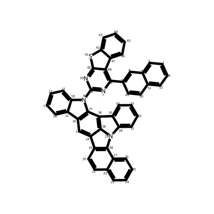 c1ccc2cc(-c3nc(-n4c5ccccc5c5cc6c7ccc8ccccc8c7n7c8ccccc8c(c54)c67)nc4sc5ccccc5c34)ccc2c1